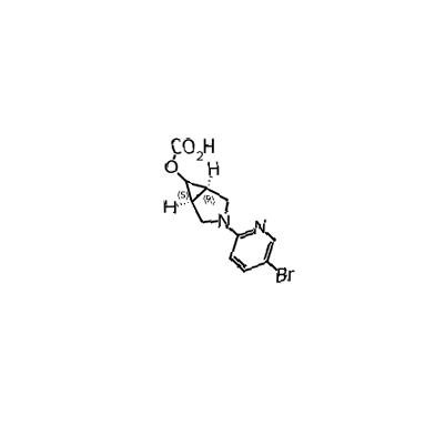 O=C(O)OC1[C@H]2CN(c3ccc(Br)cn3)C[C@@H]12